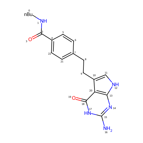 CCCCNC(=O)c1ccc(CCc2c[nH]c3nc(N)[nH]c(=O)c23)cc1